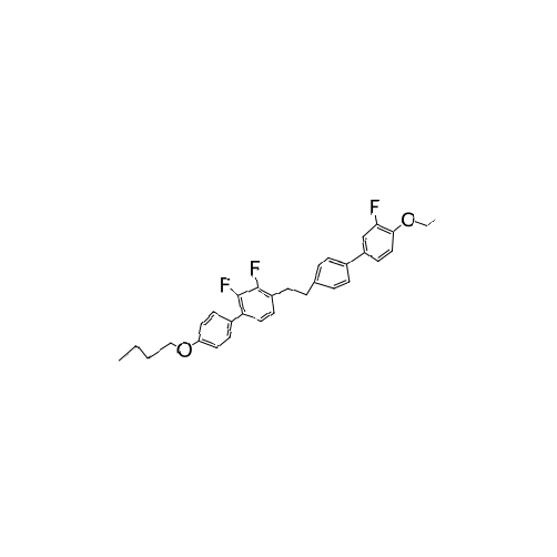 CCCCOc1ccc(-c2ccc(CCc3ccc(-c4ccc(OCC)c(F)c4)cc3)c(F)c2F)cc1